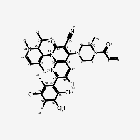 C=CC(=O)N1CCN(c2c(C#N)c(=O)n(C3=C(C)C=CN(C)C3C(C)C)c3nc(-c4c(F)c(Cl)c(F)c(O)c4Cl)c(Cl)cc23)C[C@H]1C